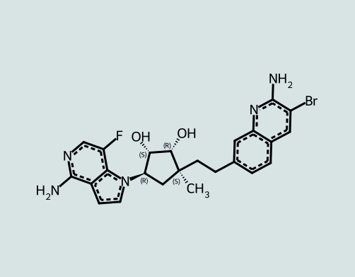 C[C@]1(CCc2ccc3cc(Br)c(N)nc3c2)C[C@@H](n2ccc3c(N)ncc(F)c32)[C@H](O)[C@@H]1O